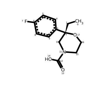 CC[C@]1(c2ccc(F)cc2)CN(C(=O)O)CCO1